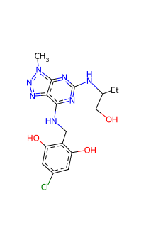 CCC(CO)Nc1nc(NCc2c(O)cc(Cl)cc2O)c2nnn(C)c2n1